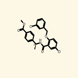 COC(=O)c1ccc([C@H](C)NC(=O)c2cc(Cl)ccc2OCc2cccc(Cl)c2)cc1